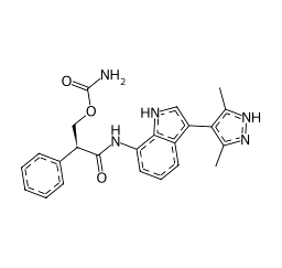 Cc1n[nH]c(C)c1-c1c[nH]c2c(NC(=O)[C@H](COC(N)=O)c3ccccc3)cccc12